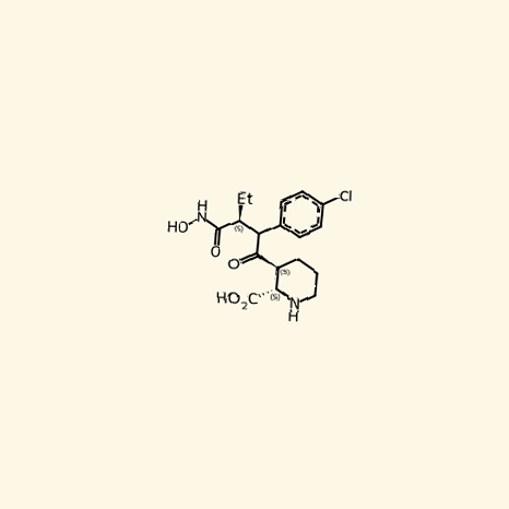 CC[C@H](C(=O)NO)C(C(=O)[C@H]1CCCN[C@@H]1C(=O)O)c1ccc(Cl)cc1